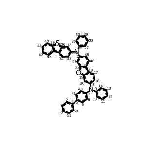 c1ccc(-c2ccc(N(c3ccccc3)c3ccc4c(c3)oc3cc(N(c5ccccc5)c5ccc6c(c5)sc5ccccc56)ccc34)cc2)cc1